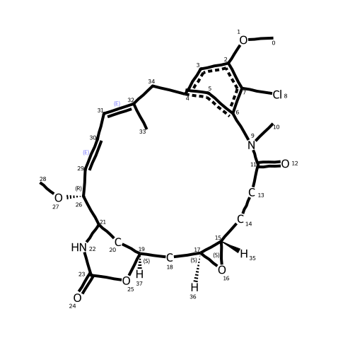 COc1cc2cc(c1Cl)N(C)C(=O)CC[C@@H]1O[C@H]1C[C@@H]1CC(NC(=O)O1)[C@H](OC)/C=C/C=C(\C)C2